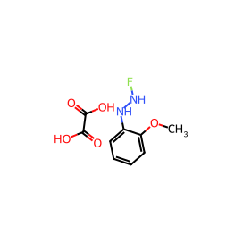 COc1ccccc1NNF.O=C(O)C(=O)O